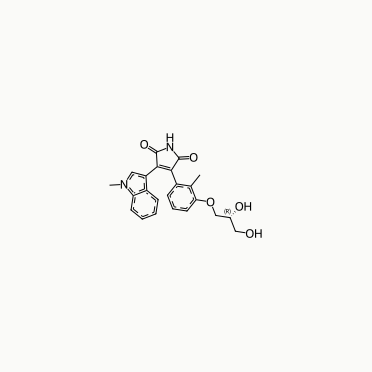 Cc1c(OC[C@H](O)CO)cccc1C1=C(c2cn(C)c3ccccc23)C(=O)NC1=O